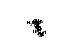 CC[C@H](Cc1sccc1Cl)Nc1ncnc2c1ncn2[C@@H]1C[C@H](CF)[C@H]2OC(C)(C)O[C@H]21